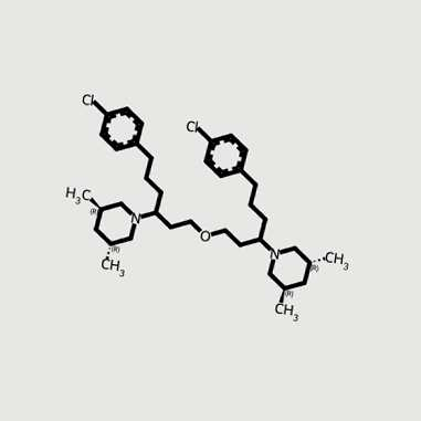 C[C@@H]1C[C@@H](C)CN(C(CCCc2ccc(Cl)cc2)CCOCCC(CCCc2ccc(Cl)cc2)N2C[C@H](C)C[C@@H](C)C2)C1